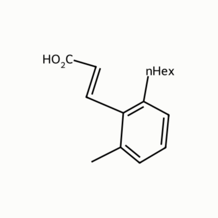 CCCCCCc1cccc(C)c1/C=C/C(=O)O